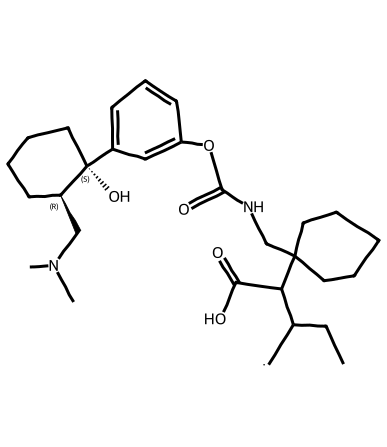 [CH2]C(CC)C(C(=O)O)C1(CNC(=O)Oc2cccc([C@]3(O)CCCC[C@@H]3CN(C)C)c2)CCCCC1